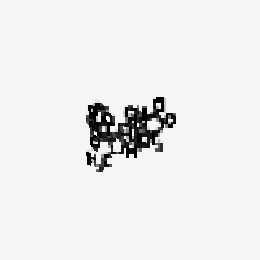 CCCOC(=O)C(=O)[C@H]1C(C)C[C@H]2[C@@H]3CCC4=CC(=O)C(Cl)=C[C@]4(C)[C@H]3C(O)C[C@]12C